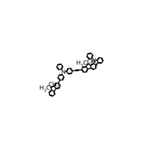 CC1(C)c2ccccc2-c2ccc(-c3ccc(N(c4ccccc4)c4ccc(C#Cc5ccc6c(c5)C(C)(C)c5c-6ccc6c7ccccc7n(-c7ccccc7)c56)cc4)cc3)cc21